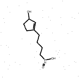 O=[PH](O)CCCCC1=CC(O)CC1